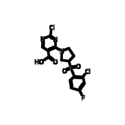 O=C(O)c1cnc(Cl)nc1N1CCC(S(=O)(=O)c2ccc(F)cc2Cl)C1